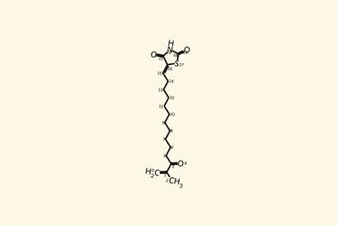 C=C(C)C(=O)CCCCCCCCCC/C=C1\SC(=O)NC1=O